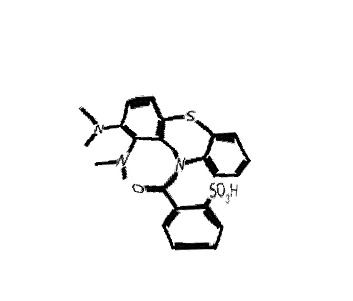 CN(C)c1ccc2c(c1N(C)C)N(C(=O)c1ccccc1S(=O)(=O)O)c1ccccc1S2